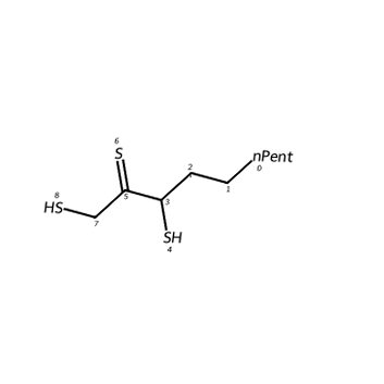 CCCCCC[CH]C(S)C(=S)CS